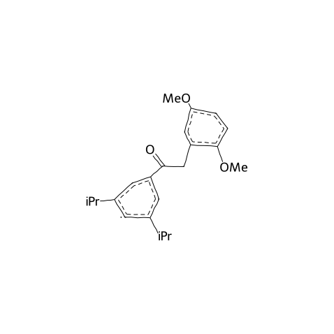 COc1ccc(OC)c(CC(=O)c2cc(C(C)C)[c]c(C(C)C)c2)c1